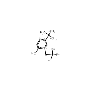 Cc1ccc(C(C)(C)C)cc1CC(F)(F)F